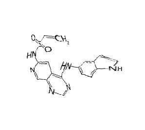 C=CS(=O)(=O)Nc1cc2c(Nc3ccc4[nH]ccc4c3)ncnc2cn1